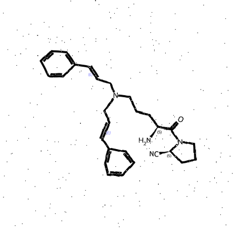 N#C[C@@H]1CCCN1C(=O)[C@@H](N)CCCN(C/C=C/c1ccccc1)C/C=C/c1ccccc1